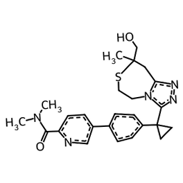 CN(C)C(=O)c1ccc(-c2ccc(C3(c4nnc5n4CCSC(C)(CO)C5)CC3)cc2)cn1